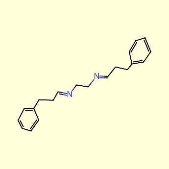 C(CCc1ccccc1)=NCCN=CCCc1ccccc1